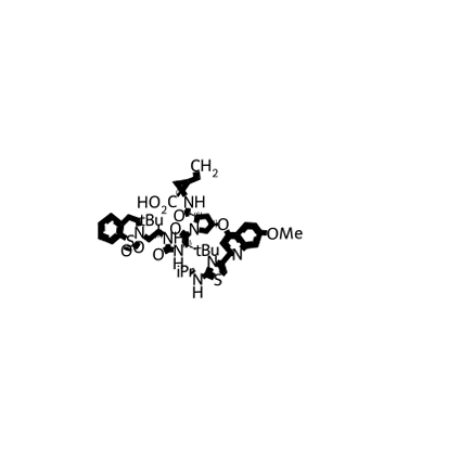 C=CC1C[C@]1(NC(=O)[C@@H]1C[C@@H](Oc2cc(-c3csc(NC(C)C)n3)nc3cc(OC)ccc23)CN1C(=O)[C@@H](NC(=O)N[C@H](CN1CCc2ccccc2S1(=O)=O)C(C)(C)C)C(C)(C)C)C(=O)O